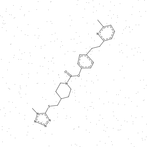 Cc1cccc(CCc2ccc(OC(=O)N3CCC(CSc4nnnn4C)CC3)cc2)n1